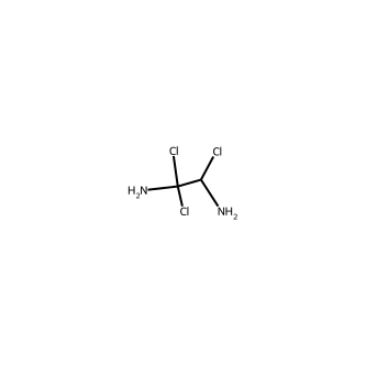 NC(Cl)C(N)(Cl)Cl